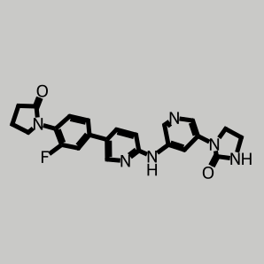 O=C1NCCN1c1cncc(Nc2ccc(-c3ccc(N4CCCC4=O)c(F)c3)cn2)c1